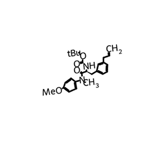 C=CCc1cccc(C[C@H](NC(=O)OC(C)(C)C)C(=O)N(C)c2ccc(OC)cc2)c1